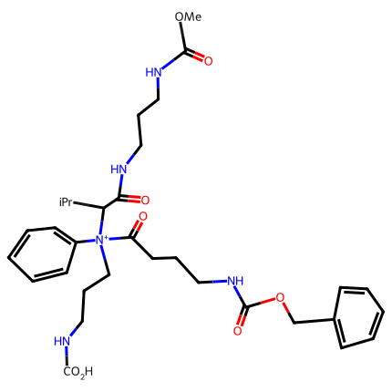 COC(=O)NCCCNC(=O)C(C(C)C)[N+](CCCNC(=O)O)(C(=O)CCCNC(=O)OCc1ccccc1)c1ccccc1